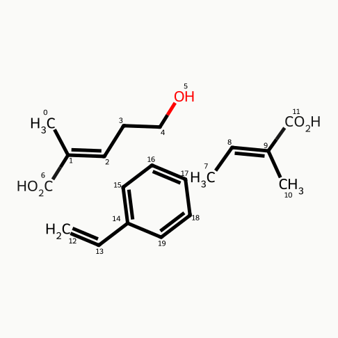 C/C(=C\CCO)C(=O)O.C/C=C(\C)C(=O)O.C=Cc1ccccc1